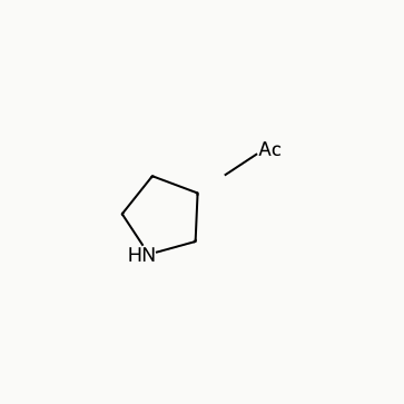 C1CCNC1.CC(C)=O